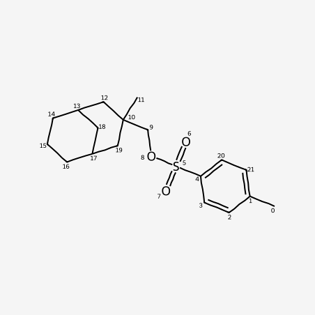 Cc1ccc(S(=O)(=O)OCC2(C)CC3CCCC(C3)C2)cc1